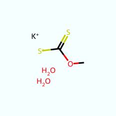 COC(=S)[S-].O.O.[K+]